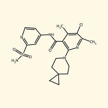 Cc1nc(N2CCC3(CC2)CC3)c(C(=O)Nc2ccnc(S(N)(=O)=O)c2)c(C)c1Cl